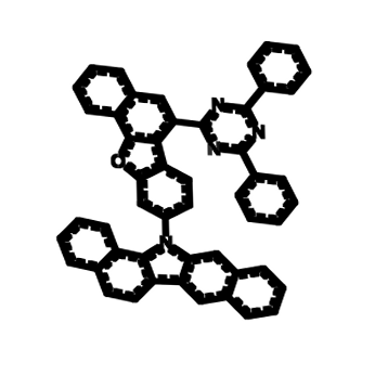 c1ccc(-c2nc(-c3ccccc3)nc(-c3cc4ccccc4c4oc5cc(-n6c7cc8ccccc8cc7c7ccc8ccccc8c76)ccc5c34)n2)cc1